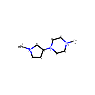 CCCN1CC[C@H](N2CCN(CC)CC2)C1